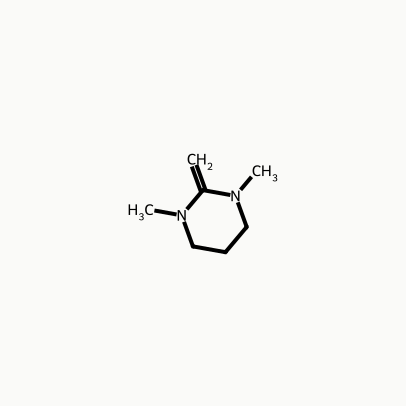 C=C1N(C)CCCN1C